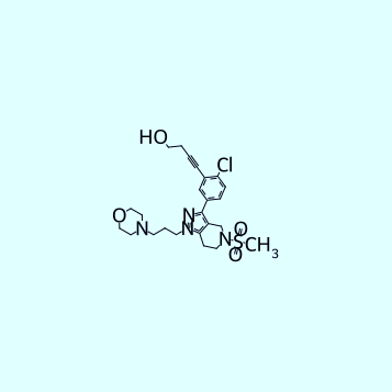 CS(=O)(=O)N1CCc2c(c(-c3ccc(Cl)c(C#CCCO)c3)nn2CCCN2CCOCC2)C1